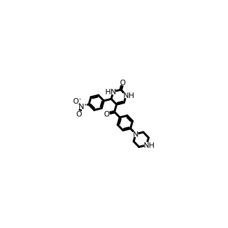 O=C1NC=C(C(=O)c2ccc(N3CCNCC3)cc2)C(c2ccc([N+](=O)[O-])cc2)N1